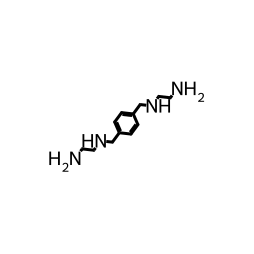 NCCNCc1ccc(CNCCN)cc1